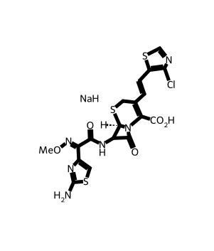 CO/N=C(/C(=O)NC1C(=O)N2C(C(=O)O)=C(/C=C/c3scnc3Cl)CS[C@H]12)c1csc(N)n1.[NaH]